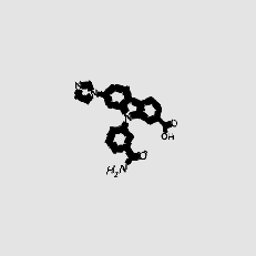 NC(=O)c1cccc(-n2c3cc(C(=O)O)ccc3c3ccc(-n4ccnc4)cc32)c1